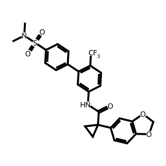 CN(C)S(=O)(=O)c1ccc(-c2cc(NC(=O)C3(c4ccc5c(c4)OCO5)CC3)ccc2C(F)(F)F)cc1